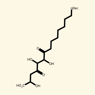 CCCCCCCCCCCCCCCCCC(=O)C(O)C(O)C(=O)CC(O)C(=O)O